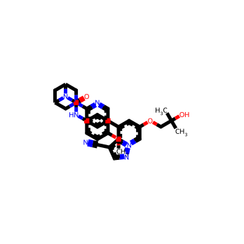 COc1ccc(NC(=O)N2C3CC2CN(c2ccc(-c4cc(OCC(C)(C)O)cn5ncc(C#N)c45)cn2)C3)cc1